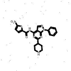 O=C(Nc1nc(C2CCNCC2)nc2c1cnn2-c1ccccc1)c1ccc([N+](=O)[O-])s1